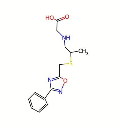 CC(CNCC(=O)O)SCc1nc(-c2ccccc2)no1